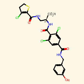 O=C(NC[C@H](NC(=O)c1c(Cl)cc(C(=O)NCc2cccc(O)c2)cc1Cl)C(=O)O)C1=C(Cl)CCS1